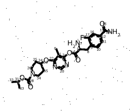 Cc1c(OC(=O)[C@@H](N)Cc2ccc(C(N)=O)cc2F)ncnc1OC1CCN(C(=O)OC(C)C)CC1